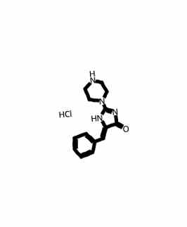 Cl.O=C1N=C(N2CCNCC2)N/C1=C\c1ccccc1